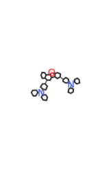 c1ccc(N(c2ccccc2)c2ccc(-c3ccc4oc5c6ccccc6c(-c6ccc(N(c7ccccc7)c7ccccc7)cc6)cc5c4c3)cc2)cc1